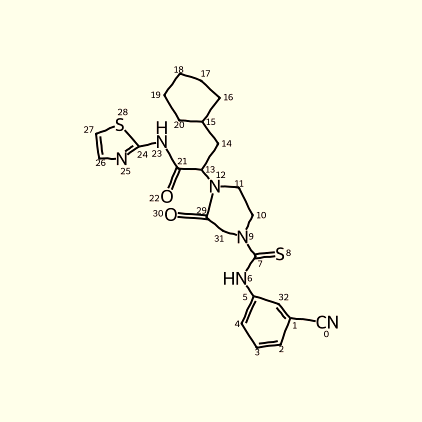 N#Cc1cccc(NC(=S)N2CCN(C(CC3CCCCC3)C(=O)Nc3nccs3)C(=O)C2)c1